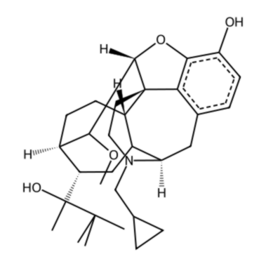 COC1[C@@H]2CC[C@H]3C(C[C@@H]2C(C)(O)C(C)(C)C)[C@H]2Cc4ccc(O)c5c4[C@@]3(CCN2CC2CC2)[C@H]1O5